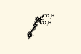 Cc1c(CCCC(=O)O)c2cccc(C=Cc3ccc(OCC=CCOc4ccc(F)cc4F)cc3)c2n1CC(=O)O